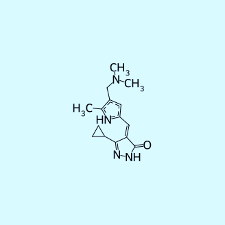 Cc1[nH]c(C=C2C(=O)NN=C2C2CC2)cc1CN(C)C